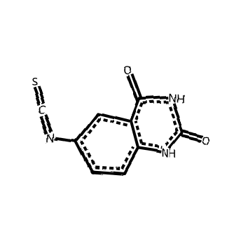 O=c1[nH]c(=O)c2cc(N=C=S)ccc2[nH]1